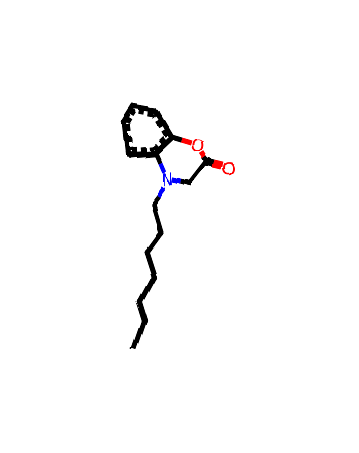 CCCCCCCN1CC(=O)Oc2ccccc21